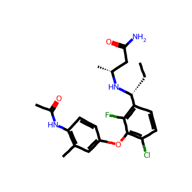 CC[C@@H](N[C@H](C)CC(N)=O)c1ccc(Cl)c(Oc2ccc(NC(C)=O)c(C)c2)c1F